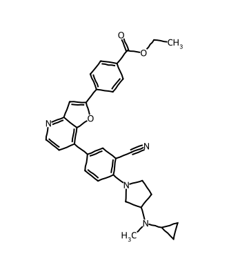 CCOC(=O)c1ccc(-c2cc3nccc(-c4ccc(N5CCC(N(C)C6CC6)C5)c(C#N)c4)c3o2)cc1